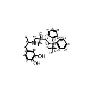 CC(Cc1ccc(O)c(O)c1)NCC(F)(F)CO[Si](c1ccccc1)(c1ccccc1)C(C)(C)C